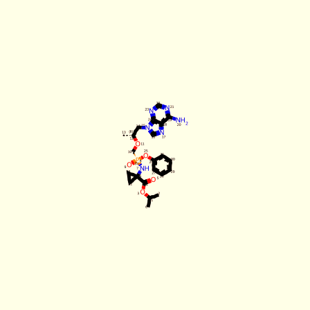 CC(C)OC(=O)C1(N[P@](=O)(CO[C@H](C)Cn2cnc3c(N)ncnc32)Oc2ccccc2)CC1